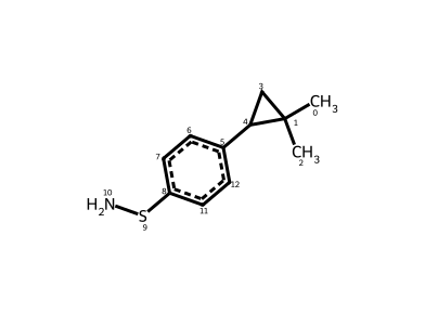 CC1(C)CC1c1ccc(SN)cc1